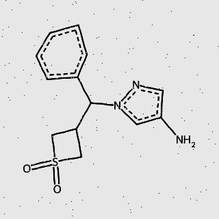 Nc1cnn(C(c2ccccc2)C2CS(=O)(=O)C2)c1